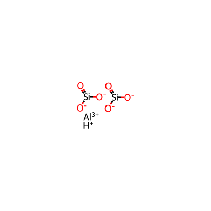 O=[Si]([O-])[O-].O=[Si]([O-])[O-].[Al+3].[H+]